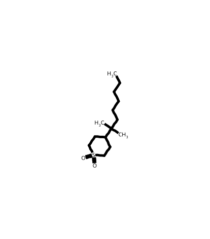 CCCCCCC(C)(C)C1CCS(=O)(=O)CC1